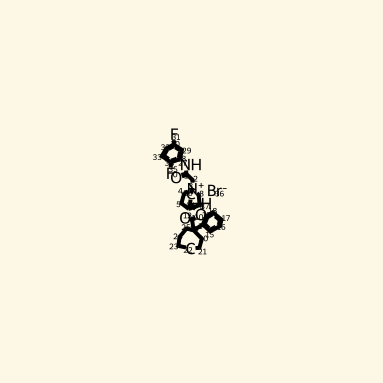 O=C(C[N+]12CCC(CC1)[C@@H](OC(=O)C1(c3ccccc3)CCCCCC1)C2)Nc1cc(F)ccc1F.[Br-]